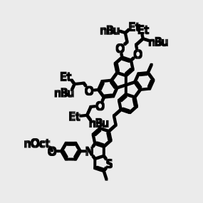 CCCCCCCCOc1ccc(N2c3ccc(CCc4ccc5c(c4)C4(c6cc(C)ccc6-5)c5cc(OCC(CC)CCCC)c(OCC(CC)CCCC)cc5-c5cc(OCC(CC)CCCC)c(OCC(CC)CCCC)cc54)cc3C3SC(C)=CC32)cc1